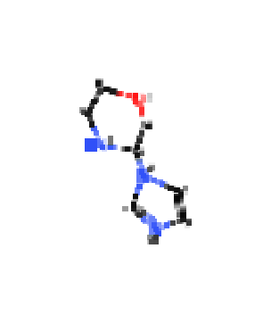 c1cn(C2COCCN2)cn1